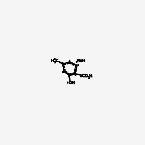 Cc1ccc(C(=O)O)c(O)c1.[NaH]